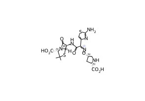 CC1(C)S[C@@H]2[C@H](NC(=O)/C(=N\O[C@@H]3CN[C@H](C(=O)O)C3)c3csc(N)n3)C(=O)N2[C@H]1C(=O)O